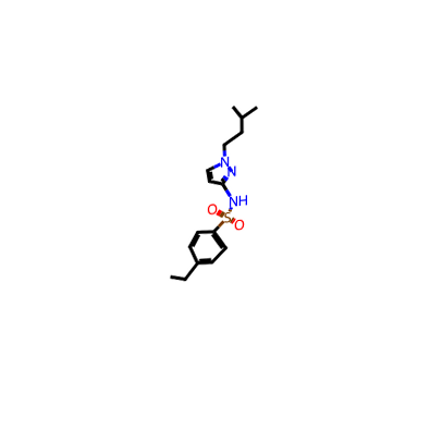 CCc1ccc(S(=O)(=O)Nc2ccn(CCC(C)C)n2)cc1